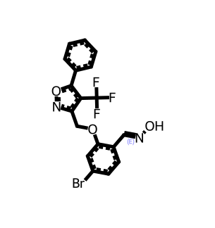 O/N=C/c1ccc(Br)cc1OCc1noc(-c2ccccc2)c1C(F)(F)F